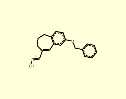 O/N=C/C1=Cc2cc(OCc3ccccc3)ccc2CCC1